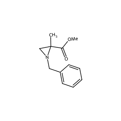 COC(=O)C1(C)CN1Cc1ccccc1